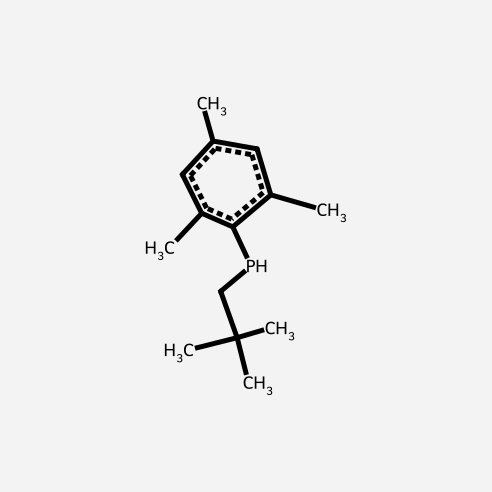 Cc1cc(C)c(PCC(C)(C)C)c(C)c1